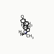 C/C(C#N)=C1\CC[C@H]2[C@@H]3CCC4=CC(=O)CC[C@]4(C)[C@H]3CC[C@]12C